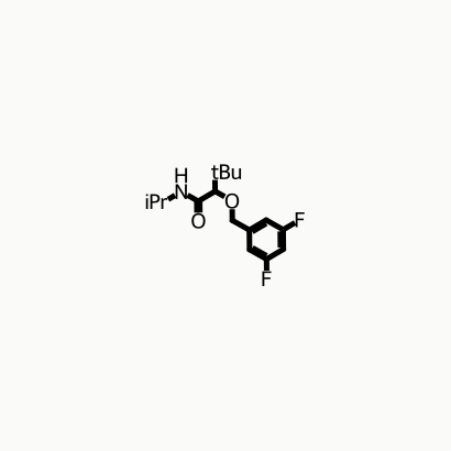 CC(C)NC(=O)C(OCc1cc(F)cc(F)c1)C(C)(C)C